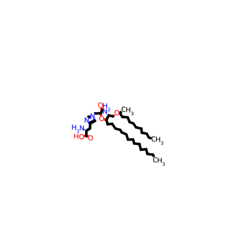 CCCCCCCCCCCCCCCC(CCOC(C)CCCCCCCCCC)OC(Cn1cnc(C[C@@H](N)C(=O)O)c1)C(N)=O